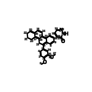 COc1ccc(C2=c3ccccc3=c3ccc4c(c3C2)CCCC=4)cc1OC.O=c1cccn[nH]1